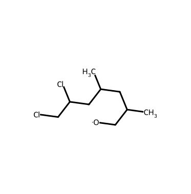 CC(C[O])CC(C)CC(Cl)CCl